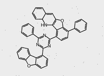 C1=CC2=Cc3oc4c(-c5ccccc5)ccc(-c5nc(-c6ccccc6)nc(-c6cccc7oc8ccccc8c67)n5)c4c3NC2C=C1